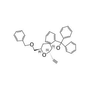 C#C[C@@H]1O[C@@H](COCc2ccccc2)CC[C@@H]1OC(c1ccccc1)(c1ccccc1)c1ccccc1